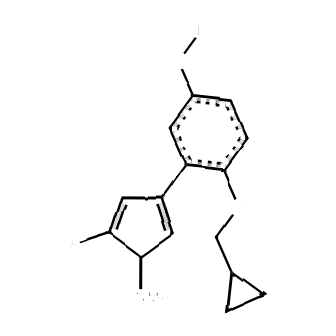 CCSc1ccc(OCC2CC2)c(C2=CC(NC)C(F)=C2)c1